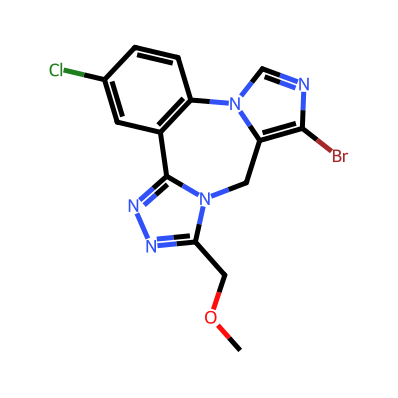 COCc1nnc2n1Cc1c(Br)ncn1-c1ccc(Cl)cc1-2